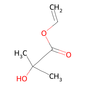 C=COC(=O)C(C)(C)O